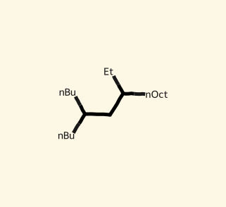 CCCCCCCCC(CC)CC(CCCC)CCCC